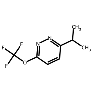 CC(C)c1ccc(OC(F)(F)F)nn1